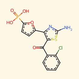 Nc1nc(-c2ccc(P(=O)(O)O)o2)c(C(=O)c2ccccc2Cl)s1